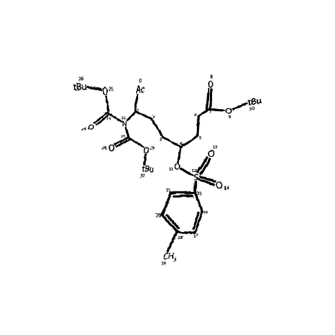 CC(=O)C(CCC(CCC(=O)OC(C)(C)C)OS(=O)(=O)c1ccc(C)cc1)N(C(=O)OC(C)(C)C)C(=O)OC(C)(C)C